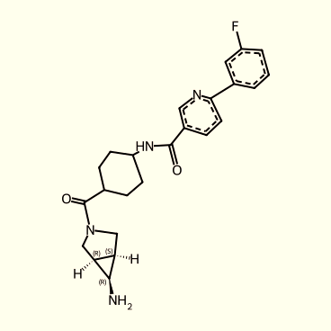 N[C@H]1[C@H]2CN(C(=O)C3CCC(NC(=O)c4ccc(-c5cccc(F)c5)nc4)CC3)C[C@@H]12